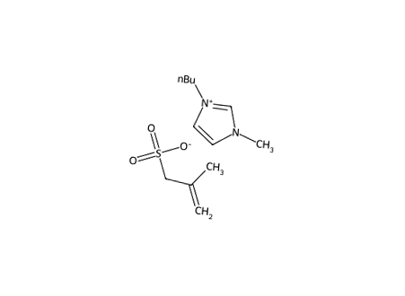 C=C(C)CS(=O)(=O)[O-].CCCC[n+]1ccn(C)c1